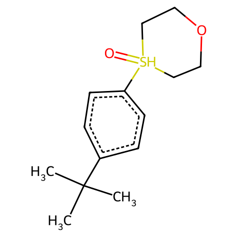 CC(C)(C)c1ccc([SH]2(=O)CCOCC2)cc1